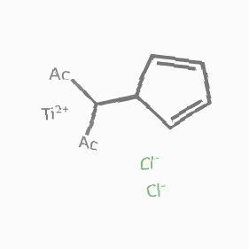 CC(=O)C(C(C)=O)C1C=CC=C1.[Cl-].[Cl-].[Ti+2]